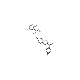 C=c1ccc(C)c/c1=C(/N=C\C)NCCc1ccc2cc(C(=O)N3CCN(C)CC3)ccc2c1